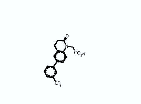 O=C(O)CN1C(=O)CCc2cc(-c3cccc(C(F)(F)F)c3)ccc21